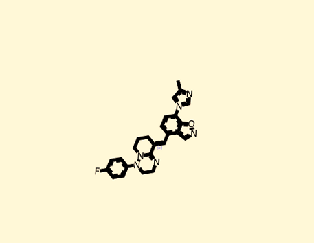 Cc1cn(-c2ccc(/C=C3\CCCN4C3=NCCN4c3ccc(F)cc3)c3cnoc23)cn1